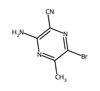 Cc1nc(N)c(C#N)nc1Br